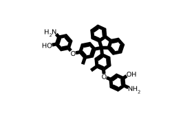 Cc1cc(C2(c3ccc(Oc4ccc(N)c(O)c4)c(C)c3)c3ccccc3-c3ccccc32)ccc1Oc1ccc(N)c(O)c1